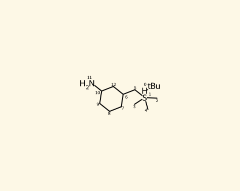 CC(C)(C)[SH](C)(C)(C)CC1CCCC(N)C1